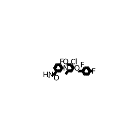 CNC(=O)c1ccc(F)c(-n2c(C)cc(OCc3ccc(F)cc3F)c(Cl)c2=O)c1